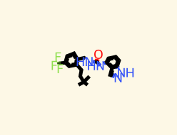 CC(C)(C)CCc1cc(C(F)(F)F)ccc1CNC(=O)Nc1cccc2[nH]ncc12